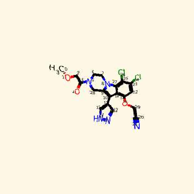 COCC(=O)N1CCn2c(c(-c3cn[nH]c3)c3c(OCC#N)cc(Cl)c(Cl)c32)C1